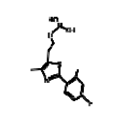 Cc1cc(F)ccc1-c1nc(C)c(CCON(O)O)s1